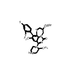 COC1CSc2c(-c3ccc(F)cc3F)c(C(F)(F)F)cc3c(N4CCNCC4C)nc(=O)n(c23)C1